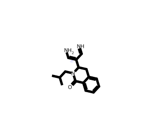 CC(C)CN1C(=O)c2ccccc2CC1/C(C=N)=C/N